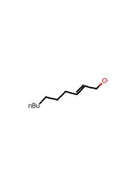 CCCCCCCC=CC[O]